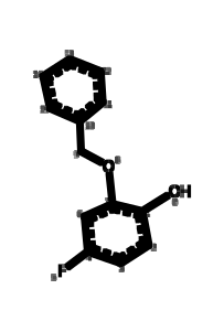 Oc1ccc(F)cc1OCc1ccccc1